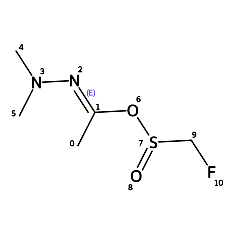 C/C(=N\N(C)C)OS(=O)CF